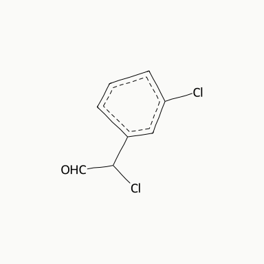 O=CC(Cl)c1cccc(Cl)c1